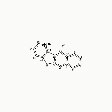 Cc1c2c(cc3ccccc13)Cc1cccnc1-2